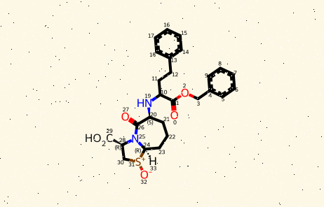 O=C(OCc1ccccc1)C(CCc1ccccc1)N[C@H]1CCC[C@@H]2N(C1=O)[C@H](C(=O)O)C[S+]2[O-]